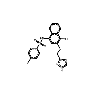 O=S(=O)(Nc1cc(SCc2nc[nH]n2)c(O)c2ccccc12)c1ccc(Br)cc1